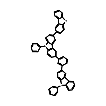 c1ccc(-n2c3ccccc3c3cc(-c4cccc(-c5ccc6c(c5)c5cc(-c7ccc8oc9ccccc9c8c7)ccc5n6-c5ccccc5)c4)ccc32)cc1